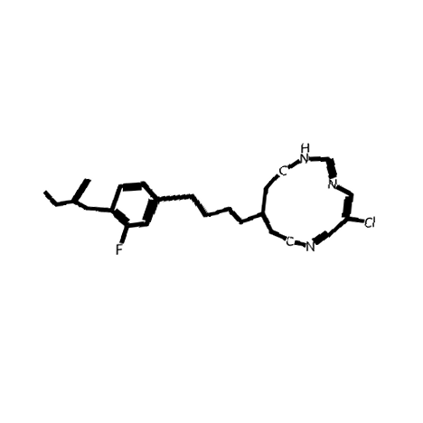 C=C(CC)Cc1ccc(CCCCC2CC\N=C/C(Cl)=C\N=C\NCC2)cc1F